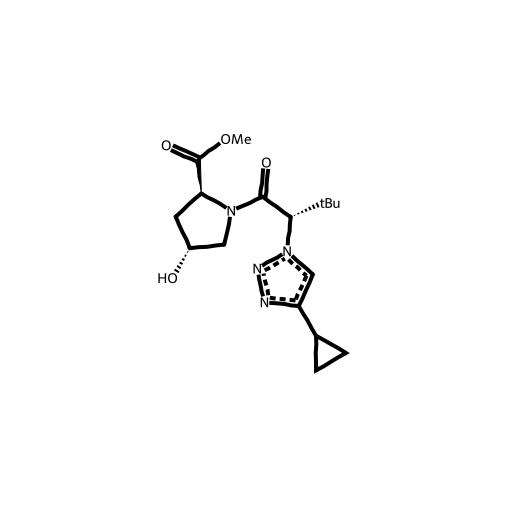 COC(=O)[C@@H]1C[C@@H](O)CN1C(=O)[C@@H](n1cc(C2CC2)nn1)C(C)(C)C